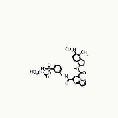 Cc1c(C(=O)O)ccc2c1CC[C@@H]2NC(=O)c1cc(C(=O)NCc2cccc(S(=O)(=O)N[C@H](C(=O)O)C(C)C)c2)nc2ccnn12